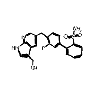 NS(=O)(=O)c1ccccc1-c1ccc(Cc2cnc3[nH]cc(CO)c3c2)c(F)c1